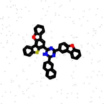 c1ccc2cc(C3N=C(c4ccc5oc6ccccc6c5c4)N=C(c4cc5c6ccccc6oc5c5c4sc4ccccc45)N3)ccc2c1